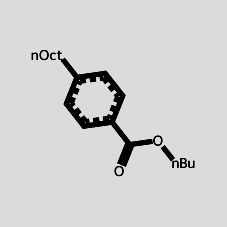 CCCCCCCCc1ccc(C(=O)OCCCC)cc1